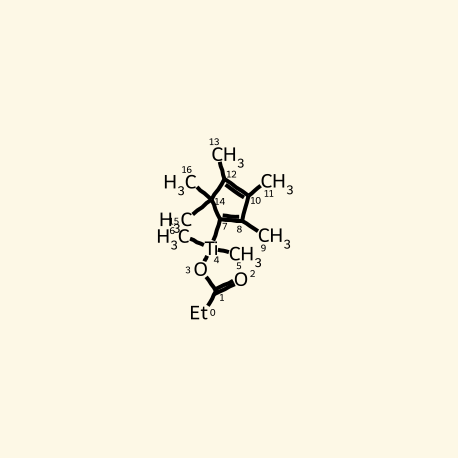 CCC(=O)[O][Ti]([CH3])([CH3])[C]1=C(C)C(C)=C(C)C1(C)C